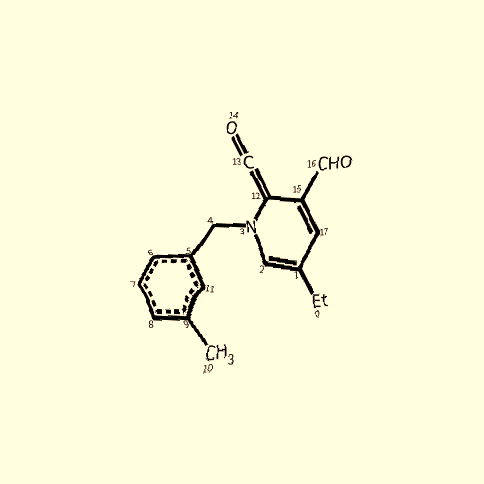 CCC1=CN(Cc2cccc(C)c2)C(=C=O)C(C=O)=C1